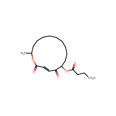 CC1CCCCCCCCCC(OC(=O)CCC(=O)O)C(=O)/C=C/C(=O)O1